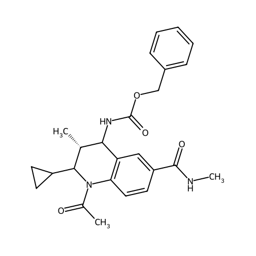 CNC(=O)c1ccc2c(c1)C(NC(=O)OCc1ccccc1)[C@@H](C)C(C1CC1)N2C(C)=O